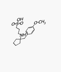 COc1ccc(CC2(NCCCS(=O)(=O)O)CCCC2)cc1